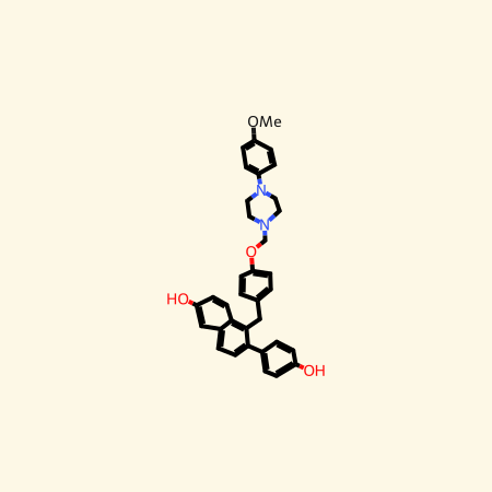 COc1ccc(N2CCN(COc3ccc(Cc4c(-c5ccc(O)cc5)ccc5cc(O)ccc45)cc3)CC2)cc1